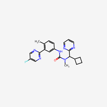 Cc1ccc(NC(=O)N(C)C(c2ncccn2)C2CCC2)cc1-c1ncc(F)cn1